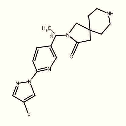 C[C@@H](c1ccc(-n2cc(F)cn2)nc1)N1CC2(CCNCC2)CC1=O